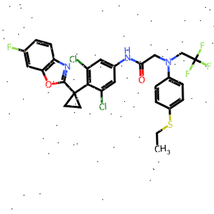 CCSc1ccc(N(CC(=O)Nc2cc(Cl)c(C3(c4nc5ccc(F)cc5o4)CC3)c(Cl)c2)CC(F)(F)F)cc1